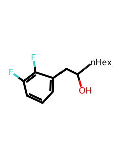 CCCCCCC(O)Cc1cccc(F)c1F